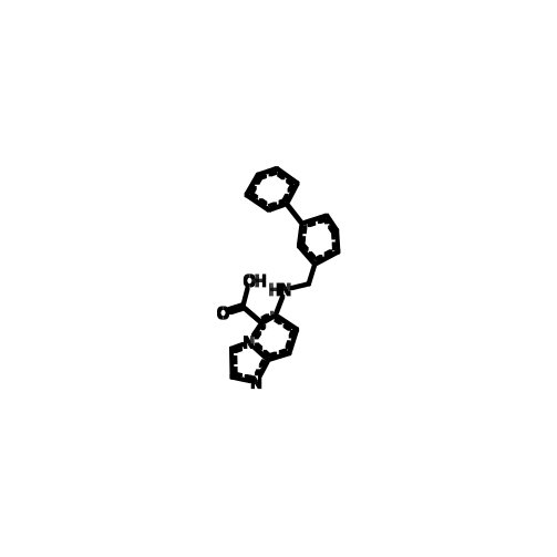 O=C(O)c1c(NCc2cccc(-c3ccccc3)c2)ccc2nccn12